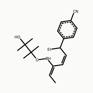 C/C=C(BOC(C)(C)C(C)(C)O)\C=C/C(CC)c1ccc(C#N)cc1